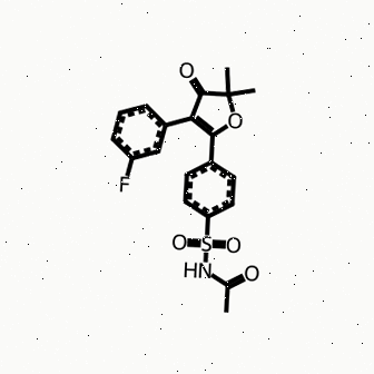 CC(=O)NS(=O)(=O)c1ccc(C2=C(c3cccc(F)c3)C(=O)C(C)(C)O2)cc1